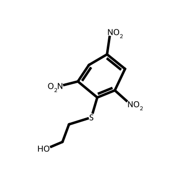 O=[N+]([O-])c1cc([N+](=O)[O-])c(SCCO)c([N+](=O)[O-])c1